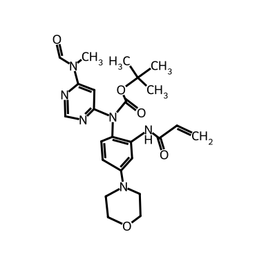 C=CC(=O)Nc1cc(N2CCOCC2)ccc1N(C(=O)OC(C)(C)C)c1cc(N(C)C=O)ncn1